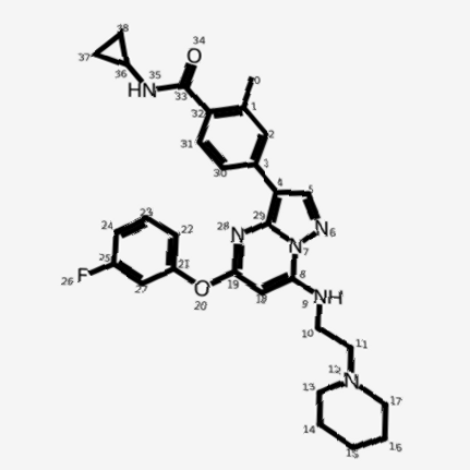 Cc1cc(-c2cnn3c(NCCN4CCCCC4)cc(Oc4cccc(F)c4)nc23)ccc1C(=O)NC1CC1